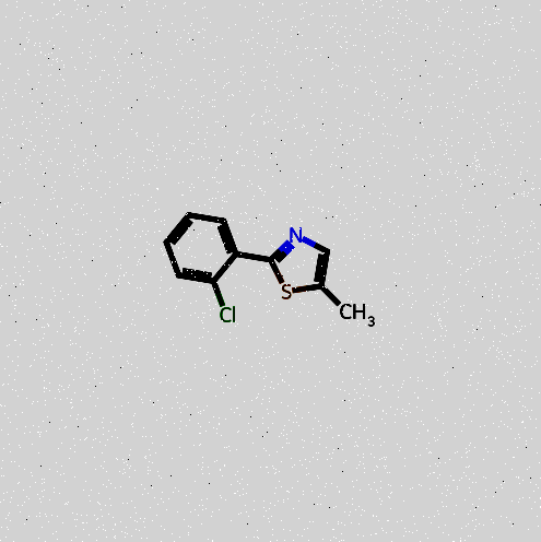 Cc1cnc(-c2ccccc2Cl)s1